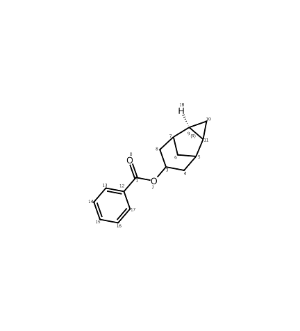 O=C(OC1CC2CC(C1)[C@H]1CC21)c1ccccc1